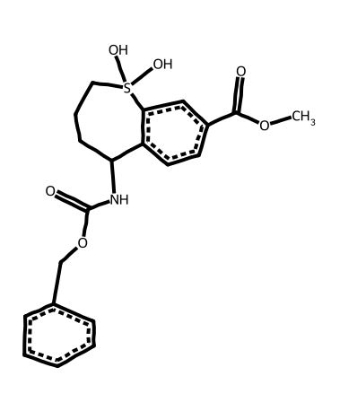 COC(=O)c1ccc2c(c1)S(O)(O)CCCC2NC(=O)OCc1ccccc1